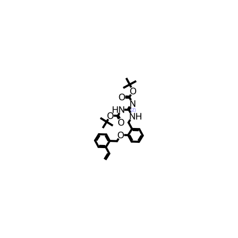 C=Cc1ccccc1COc1ccccc1CN/C(=N/C(=O)OC(C)(C)C)NC(=O)OC(C)(C)C